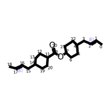 C/C=C/CC1CCC(OC(=O)C2CCC(C/C=C/C)CC2)CC1